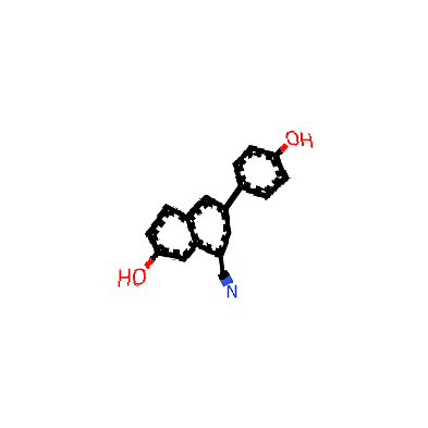 N#Cc1cc(-c2ccc(O)cc2)cc2ccc(O)cc12